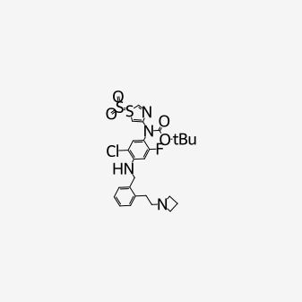 CC(C)(C)OC(=O)N(C1=CS(=S(=O)=O)C=N1)c1cc(Cl)c(NCc2ccccc2CCN2CCC2)cc1F